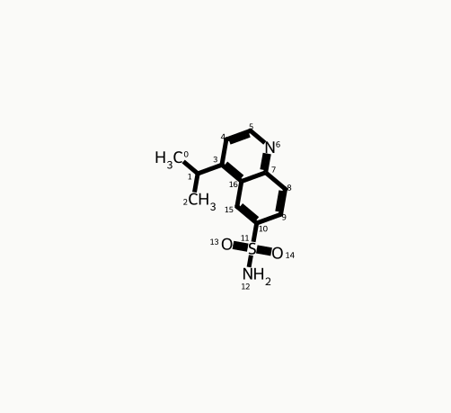 CC(C)c1ccnc2ccc(S(N)(=O)=O)cc12